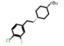 CCCC[C@H]1CC[C@H](CCc2ccc(Cl)c(F)c2)CC1